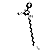 CCCCCCCCCCCCCCNc1cc(C)nc(-c2ccncc2)n1